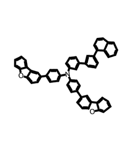 c1cc(-c2cccc(N(c3ccc(-c4ccc5oc6ccccc6c5c4)cc3)c3ccc(-c4ccc5oc6ccccc6c5c4)cc3)c2)cc(-c2cccc3ccccc23)c1